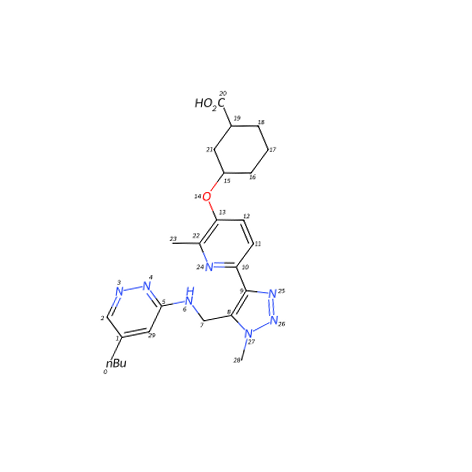 CCCCc1cnnc(NCc2c(-c3ccc(OC4CCCC(C(=O)O)C4)c(C)n3)nnn2C)c1